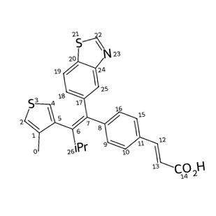 Cc1cscc1C(=C(c1ccc(C=CC(=O)O)cc1)c1ccc2scnc2c1)C(C)C